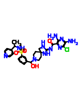 CC(NS(=O)(=O)c1cccc(C(O)N2CCC3(CC2)CN/C(=N\C(=O)c2nc(Cl)c(N)nc2N)N3)c1)c1ccncc1